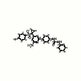 Nc1cc(C2(S(=O)(=O)c3ccc(F)cc3)CC2)nc(-c2ccc(NC(=O)Nc3ccccn3)cc2)n1